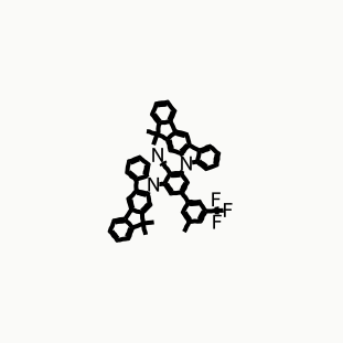 Cc1cc(-c2cc(-n3c4ccccc4c4cc5c(cc43)C(C)(C)c3ccccc3-5)c(C#N)c(-n3c4ccccc4c4cc5c(cc43)C(C)(C)c3ccccc3-5)c2)cc(C(F)(F)F)c1